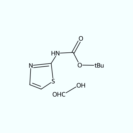 CC(C)(C)OC(=O)Nc1nccs1.O=CO